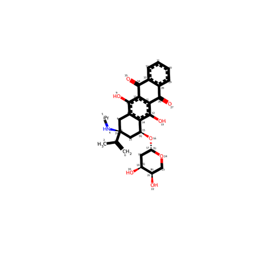 C=C(C)[C@]1(NC(C)C)Cc2c(O)c3c(c(O)c2[C@@H](O[C@H]2C[C@H](O)[C@H](O)CO2)C1)C(=O)c1ccccc1C3=O